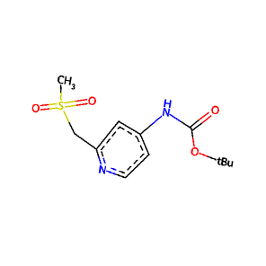 CC(C)(C)OC(=O)Nc1ccnc(CS(C)(=O)=O)c1